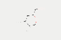 O=NC1C(N=O)[C@@H](CO)OC[C@@H]1N=O